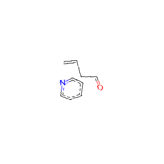 C=CCC=O.c1ccncc1